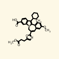 COC(=O)CCc1cnc(C2=Cc3cc(OC)cc(C)c3-c3c(C4CCCCC4)c4ccc(C(=O)O)cc4n3C2)o1